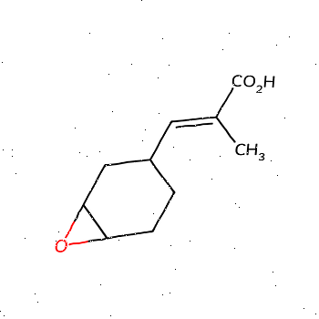 CC(=CC1CCC2OC2C1)C(=O)O